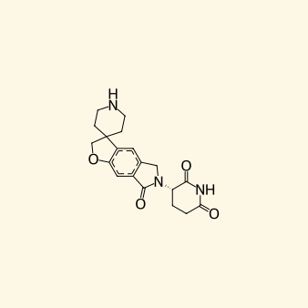 O=C1CC[C@H](N2Cc3cc4c(cc3C2=O)OCC42CCNCC2)C(=O)N1